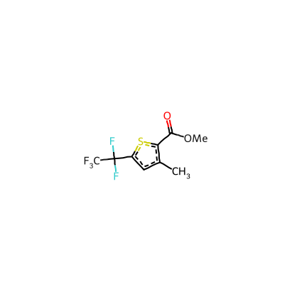 COC(=O)c1sc(C(F)(F)C(F)(F)F)cc1C